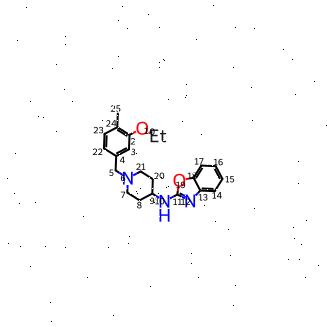 CCOc1cc(CN2CCC(Nc3nc4ccccc4o3)CC2)ccc1C